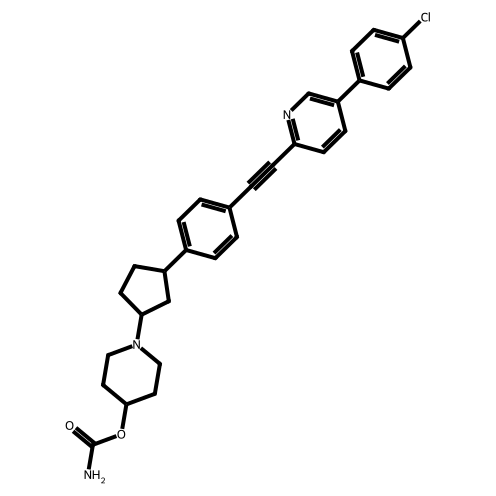 NC(=O)OC1CCN(C2CCC(c3ccc(C#Cc4ccc(-c5ccc(Cl)cc5)cn4)cc3)C2)CC1